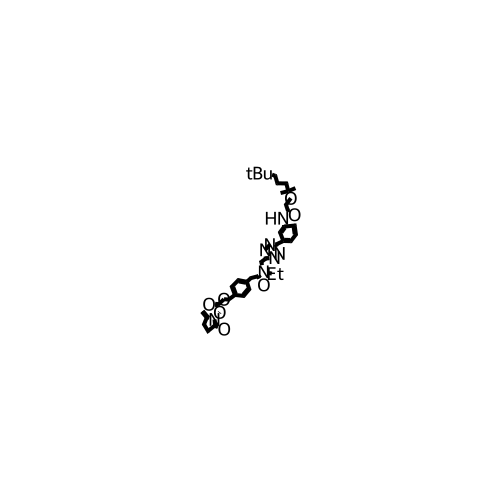 C=C1CCC(=O)N1OC(=O)OCc1ccc(CC(=O)N(CC)Cc2nnc(-c3cccc(NC(=O)COC(C)(C)CCCC(C)(C)C)c3)nn2)cc1